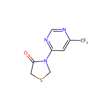 O=C1CSCN1c1cc(C(F)(F)F)ncn1